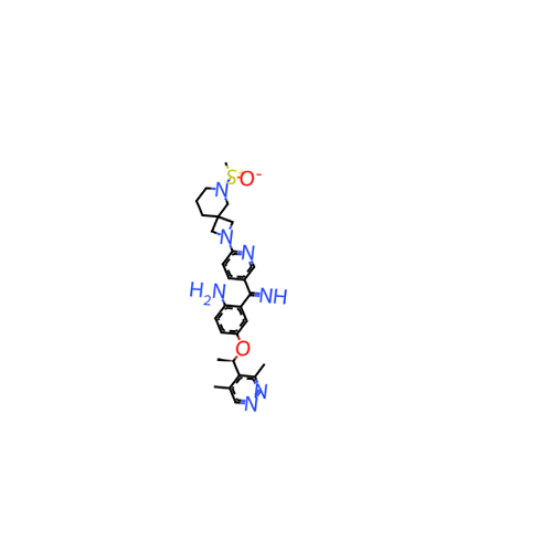 Cc1cnnc(C)c1[C@@H](C)Oc1ccc(N)c(C(=N)c2ccc(N3CC4(CCCN([S+](C)[O-])C4)C3)nc2)c1